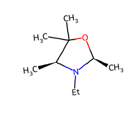 CCN1[C@H](C)OC(C)(C)[C@@H]1C